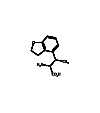 CC(c1cccc2c1CCO2)C(N)C(=O)O